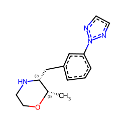 C[C@@H]1OCCN[C@@H]1Cc1cccc(-n2nccn2)c1